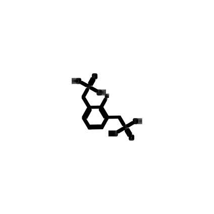 O=P(O)(O)Cc1cccc(CP(=O)(O)O)c1F